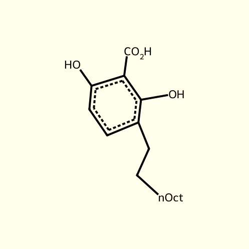 CCCCCCCCCCc1ccc(O)c(C(=O)O)c1O